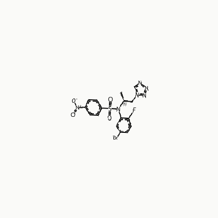 C[C@@H](Cn1cnnn1)N(c1cc(Br)ccc1F)S(=O)(=O)c1ccc([N+](=O)[O-])cc1